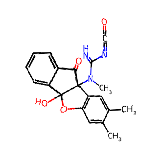 Cc1cc2c(cc1C)C1(N(C)C(=N)N=C=O)C(=O)c3ccccc3C1(O)O2